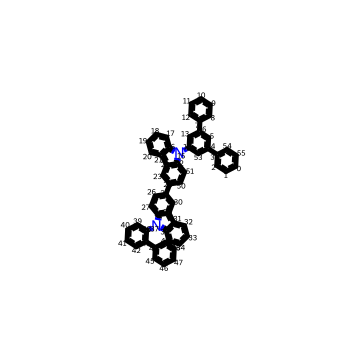 c1ccc(-c2cc(-c3ccccc3)cc(-n3c4ccccc4c4cc(-c5ccc6c(c5)c5ccccc5n6-c5ccccc5-c5ccccc5)ccc43)c2)cc1